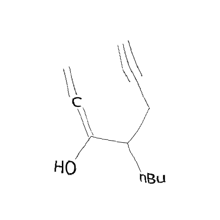 C#CCC(CCCC)C(O)=C=C